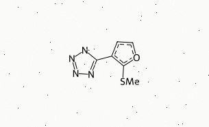 CSc1occc1C1=NN=N[N]1